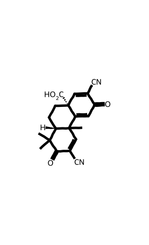 CC1(C)C(=O)C(C#N)=CC2(C)C3=CC(=O)C(C#N)=C[C@]3(C(=O)O)CC[C@@H]12